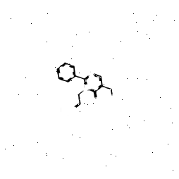 C=CCn1c(-c2ccccc2)ncc(CO)c1=O